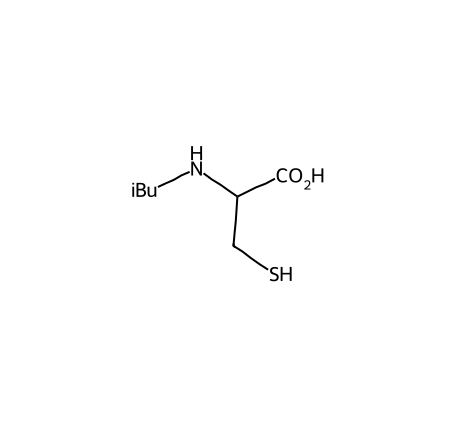 CCC(C)NC(CS)C(=O)O